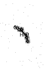 COc1ccc2c(c1)CCC1C2CCCN1CCCCNC(=O)c1ccc(-c2ccccc2)cc1